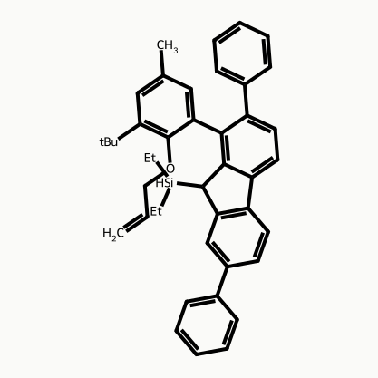 C=CCOc1c(-c2c(-c3ccccc3)ccc3c2C([SiH](CC)CC)c2cc(-c4ccccc4)ccc2-3)cc(C)cc1C(C)(C)C